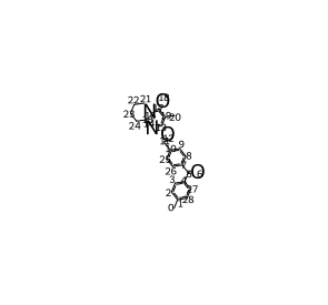 Cc1ccc(C(=O)c2ccc(COc3nc4n(c(=O)c3C)CCCC4)cc2)cc1